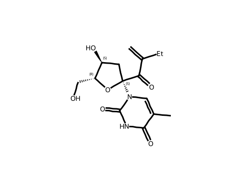 C=C(CC)C(=O)[C@]1(n2cc(C)c(=O)[nH]c2=O)C[C@H](O)[C@@H](CO)O1